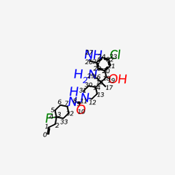 C=CCC1(F)CCC(NC(=O)N2CCC(C(C)(C)[C@H](O)c3cc(Cl)cc(C=N)c3N)CC2)CC1